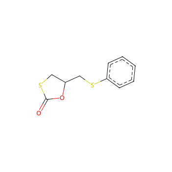 O=C1OC(CSc2ccccc2)CS1